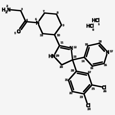 Cl.Cl.NCC(=O)N1CCCC(C2=NC(c3ccncc3)(c3ccc(Cl)c(Cl)c3)CN2)C1